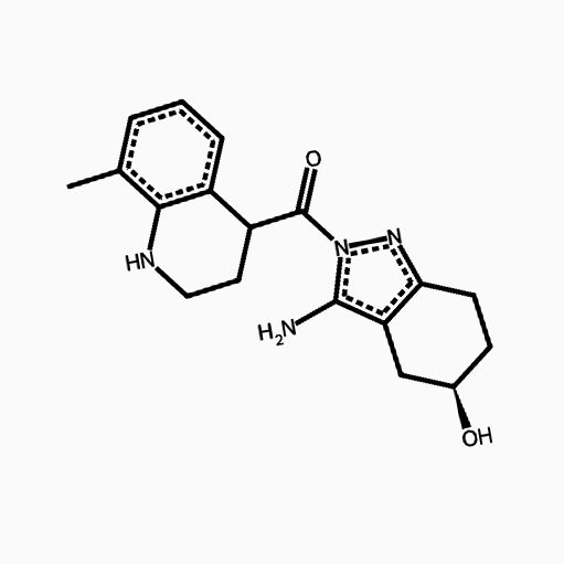 Cc1cccc2c1NCCC2C(=O)n1nc2c(c1N)C[C@H](O)CC2